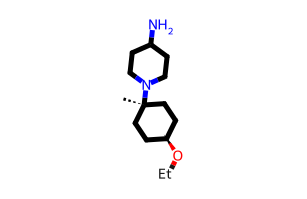 CCO[C@H]1CC[C@@](C)(N2CCC(N)CC2)CC1